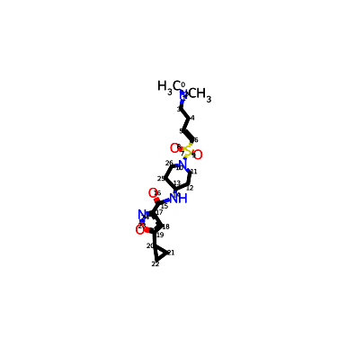 CN(C)CCC=CS(=O)(=O)N1CCC(NC(=O)c2cc(C3CC3)on2)CC1